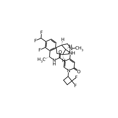 C[C@@H](NC(=O)c1cn(C2CCC2(F)F)c(=O)cc1N[C@H]1[C@@H]2CC[C@H]1CN(C)C2)c1cccc(C(F)F)c1F